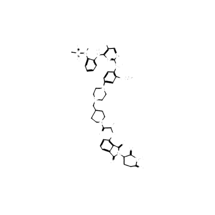 COc1cc(N2CCN(CC3CCN(C(=O)[C@@H](C)Oc4cccc5c4C(=O)N(C4CCC(=O)NC4=O)C5=O)CC3)CC2)ccc1Nc1ncc(Cl)c(Nc2ccccc2N(C)S(C)(=O)=O)n1